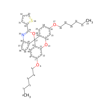 CCCCCCOc1ccc2c(c1)Oc1cc(OCCCCCC)ccc1C21OC(c2cccs2)=Nc2ccccc21